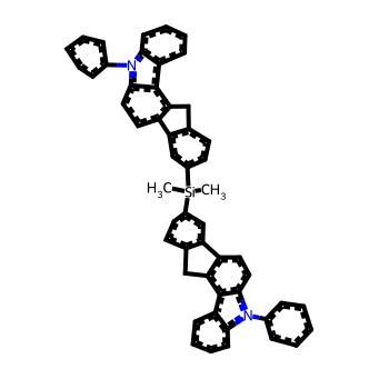 C[Si](C)(c1ccc2c(c1)-c1ccc3c(c1C2)c1ccccc1n3-c1ccccc1)c1ccc2c(c1)-c1ccc3c(c1C2)c1ccccc1n3-c1ccccc1